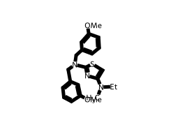 [CH2]CN(C)c1csc(N(Cc2cccc(OC)c2)Cc2cccc(OC)c2)n1